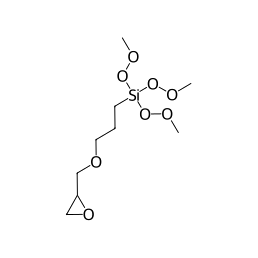 COO[Si](CCCOCC1CO1)(OOC)OOC